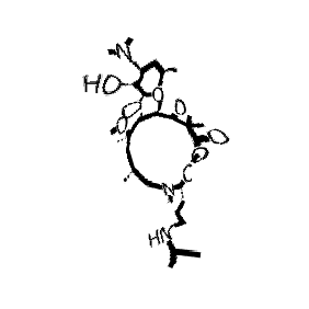 CO[C@]1(C)C[C@@H](C)CN(C)[C@@H](CCCNC(C)C)COC(=O)C(C)(C)C(=O)[C@H](C)[C@H]1O[C@@H]1O[C@H](C)C[C@H](N(C)C)[C@H]1O